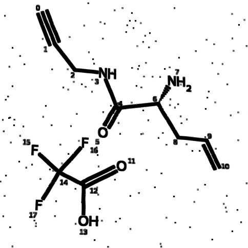 C#CCNC(=O)[C@H](N)CC=C.O=C(O)C(F)(F)F